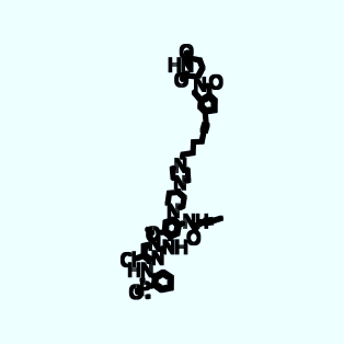 CC#CC(=O)Nc1cc(Nc2ncc(Cl)c(Nc3ccccc3P(C)(C)=O)n2)c(OC)cc1N1CCC(N2CCN(CCCCC#Cc3ccc4c(c3)CN(C3CCC(=O)NC3=O)C4=O)CC2)CC1